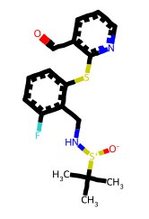 CC(C)(C)[S+]([O-])NCc1c(F)cccc1Sc1ncccc1C=O